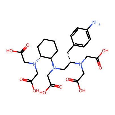 Nc1ccc(C[C@@H](CN(CC(=O)O)[C@@H]2CCCC[C@H]2N(CC(=O)O)CC(=O)O)N(CC(=O)O)CC(=O)O)cc1